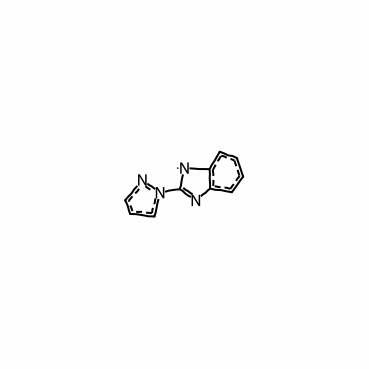 c1ccc2c(c1)[N]C(n1cccn1)=N2